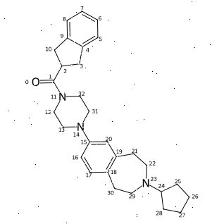 O=C(C1Cc2ccccc2C1)N1CCN(c2ccc3c(c2)CCN(C2CCCC2)CC3)CC1